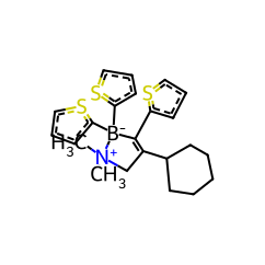 C[N+]1(C)CC(C2CCCCC2)=C(c2cccs2)[B-]1(c1cccs1)c1cccs1